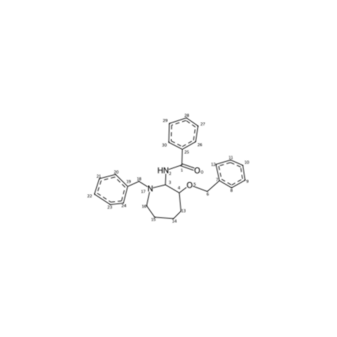 O=C(NC1C(OCc2ccccc2)CCCCN1Cc1ccccc1)c1ccccc1